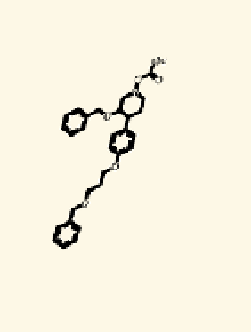 CC(C)(C)C(=O)ON1CCC(c2ccc(OCCCOCc3ccccc3)cc2)C(OCc2ccccc2)C1